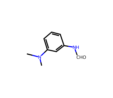 CN(C)c1cccc(NC=O)c1